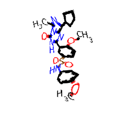 CCOc1ccc(S(=O)(=O)Nc2ccc(OC)cc2)cc1-c1nc2c(C3CCCC3)nc(C)n2c(=O)[nH]1